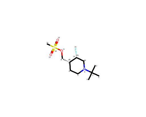 CC(C)(C)N1CC[C@H](COS(C)(=O)=O)[C@H](F)C1